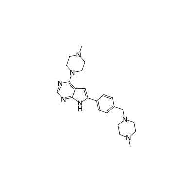 CN1CCN(Cc2ccc(-c3cc4c(N5CCN(C)CC5)ncnc4[nH]3)cc2)CC1